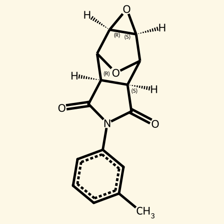 Cc1cccc(N2C(=O)[C@@H]3C4OC([C@H]5O[C@@H]45)[C@@H]3C2=O)c1